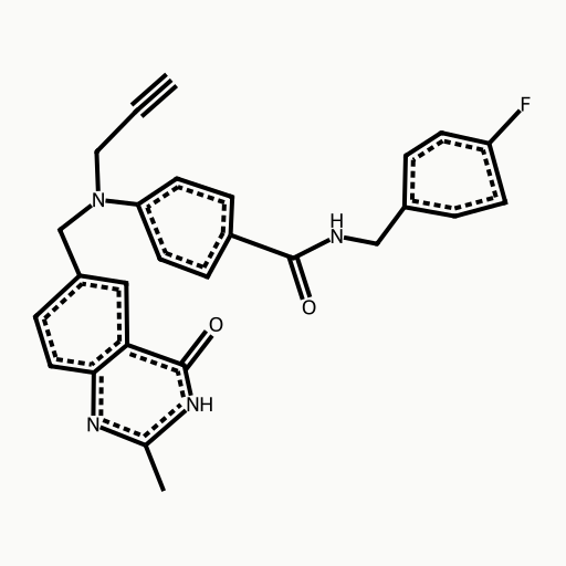 C#CCN(Cc1ccc2nc(C)[nH]c(=O)c2c1)c1ccc(C(=O)NCc2ccc(F)cc2)cc1